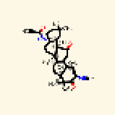 [C-]#[N+]C1=C[C@]2(C)C3=CC(=O)[C@@H]4[C@@H]5CC(C)(C)CC[C@]5(NC(=O)C#C)CC[C@@]4(C)[C@]3(C)CC[C@H]2C(C)(C)C1=O